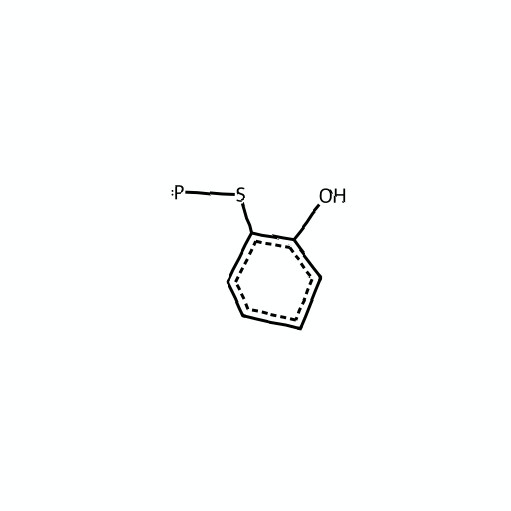 Oc1ccccc1S[P]